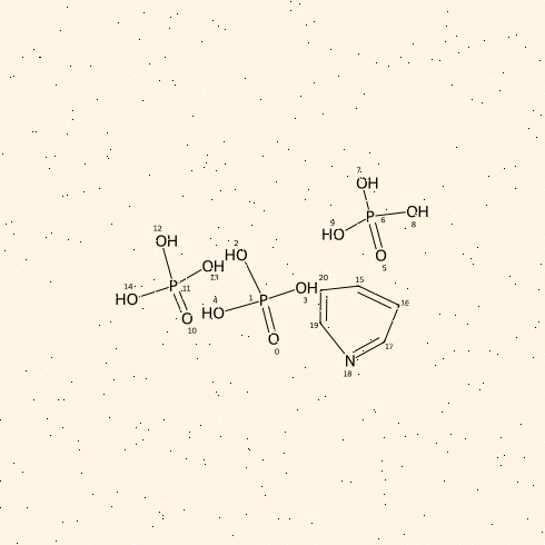 O=P(O)(O)O.O=P(O)(O)O.O=P(O)(O)O.c1ccncc1